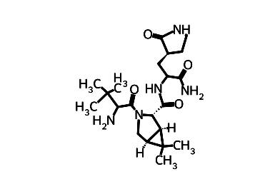 CC(C)(C)C(N)C(=O)N1C[C@H]2[C@@H]([C@H]1C(=O)NC(C[C@@H]1CCNC1=O)C(N)=O)C2(C)C